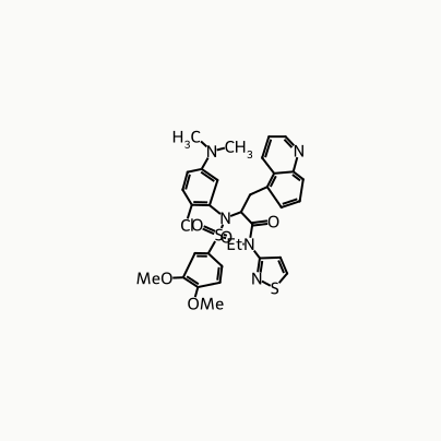 CCN(C(=O)C(Cc1cccc2ncccc12)N(c1cc(N(C)C)ccc1Cl)S(=O)(=O)c1ccc(OC)c(OC)c1)c1ccsn1